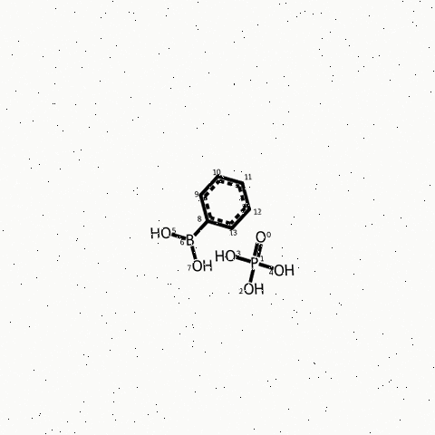 O=P(O)(O)O.OB(O)c1ccccc1